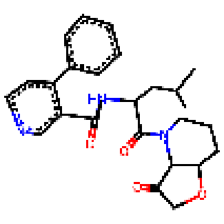 CC(C)CC(NC(=O)c1cnccc1-c1ccccc1)C(=O)N1CCCC2OCC(=O)C21